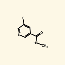 CNC(=O)c1cn[c]c(F)c1